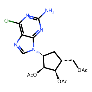 CC(=O)OC[C@H]1C[C@@H](n2cnc3c(Cl)nc(N)nc32)[C@H](OC(C)=O)[C@@H]1OC(C)=O